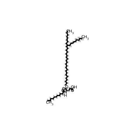 CCCCCCCCCCCC(=O)N[C@@H](CCC(=O)O)C(=O)OCCCCCCCCCCCCCCCCCCCCCCCC(CCCCCCCC)CCCCCCCCCC